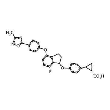 Cc1noc(-c2ccc(Oc3ccc(F)c4c3CC[C@H]4Oc3ccc([C@H]4C[C@@H]4C(=O)O)cc3)cc2)n1